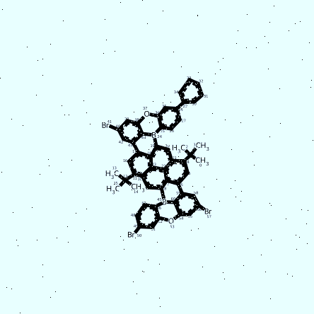 CC(C)(C)c1cc2c3c(cc4c(C(C)(C)C)cc5c6c(cc1c3c46)B1c3ccc(-c4ccccc4)cc3Oc3cc(Br)cc-5c31)B1c3ccc(Br)cc3Oc3cc(Br)cc-2c31